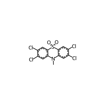 CN1c2cc(Cl)c(Cl)cc2S(=O)(=O)c2cc(Cl)c(Cl)cc21